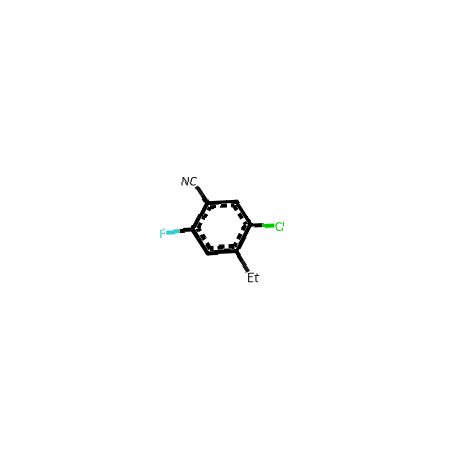 CCc1cc(F)c(C#N)cc1Cl